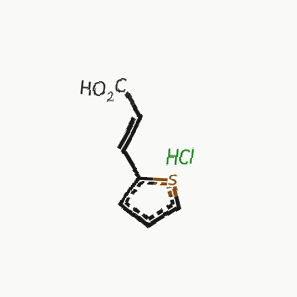 Cl.O=C(O)C=Cc1cccs1